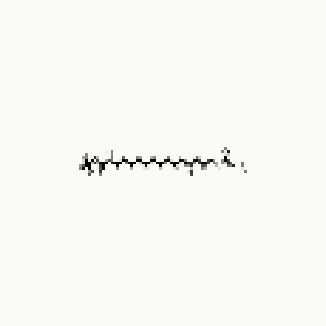 CC(C)(C)OC(=O)NCCCCCCCCCCNCCCOC(N)=O